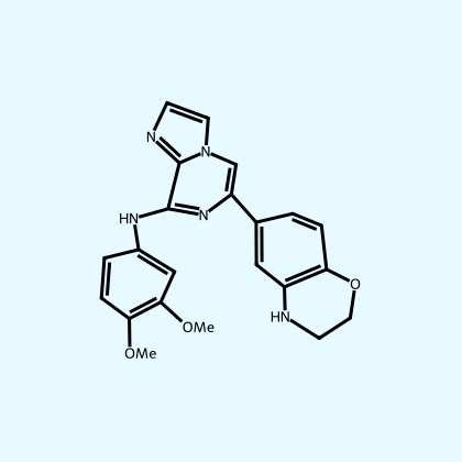 COc1ccc(Nc2nc(-c3ccc4c(c3)NCCO4)cn3ccnc23)cc1OC